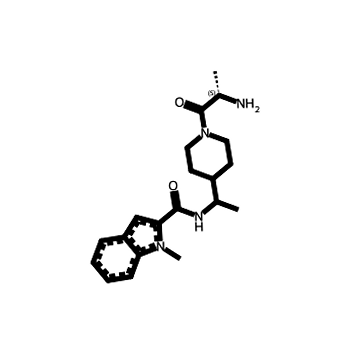 CC(NC(=O)c1cc2ccccc2n1C)C1CCN(C(=O)[C@H](C)N)CC1